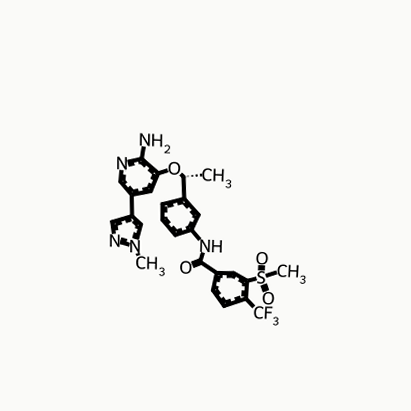 C[C@@H](Oc1cc(-c2cnn(C)c2)cnc1N)c1cccc(NC(=O)c2ccc(C(F)(F)F)c(S(C)(=O)=O)c2)c1